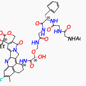 CC[C@@]1(O)C(=O)OCc2c1cc1n(c2=O)Cc2c-1nc1cc(F)c(C)c3c1c2[C@@H](NC(=O)[C@@H](O)OCNC(=O)CNC(=O)[C@H](Cc1ccccc1)NC(=O)CNC(=O)CNC(C)=O)CC3